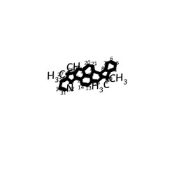 CC1(C)c2ccccc2-c2c1cc1ccc3c4c(cc5ccc2c1c53)C(C)(C)c1cccnc1-4